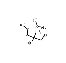 CCOC(C)(C)CCO.CCOCC